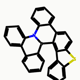 c1ccc2c(c1)B1c3c(ccc4sc5ccccc5c34)-c3ccccc3N1c1ccccc1-2